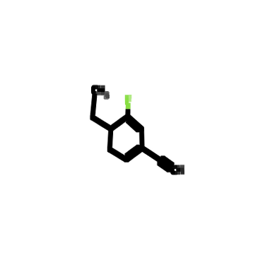 C#CC1=CCC(CC)C(F)=C1